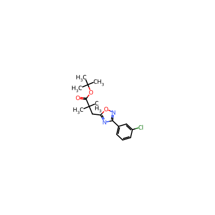 CC(C)(C)OC(=O)C(C)(C)Cc1nc(-c2cccc(Cl)c2)no1